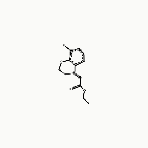 CCOC(=O)C=C1CCOc2c(F)cccc21